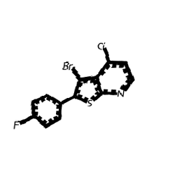 Fc1ccc(-c2sc3nccc(Cl)c3c2Br)cc1